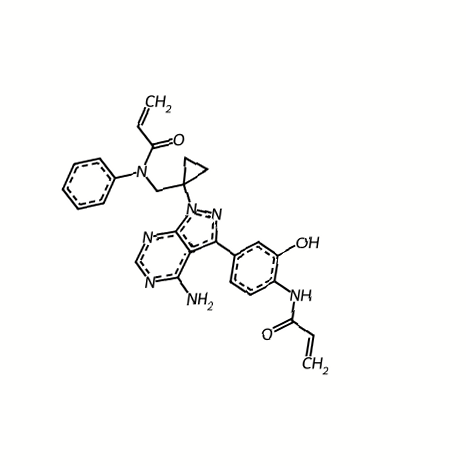 C=CC(=O)Nc1ccc(-c2nn(C3(CN(C(=O)C=C)c4ccccc4)CC3)c3ncnc(N)c23)cc1O